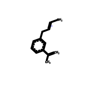 C=C(C)c1cccc(C/C=C/N)c1